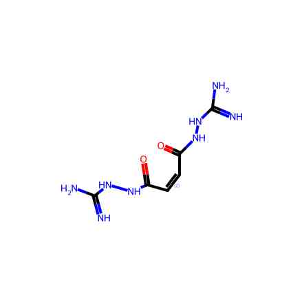 N=C(N)NNC(=O)/C=C\C(=O)NNC(=N)N